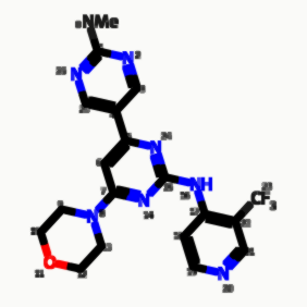 CNc1ncc(-c2cc(N3CCOCC3)nc(Nc3ccncc3C(F)(F)F)n2)cn1